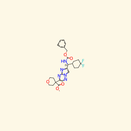 COC(=O)C1(c2cnn3cc([C@@H](NC(=O)OCc4ccccc4)C4CCC(F)(F)CC4)nc3n2)CCOCC1